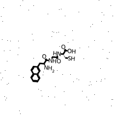 N[C@@H](Cc1ccc2ccccc2c1)C(=O)NCC(=O)N[C@@H](CS)C(=O)O